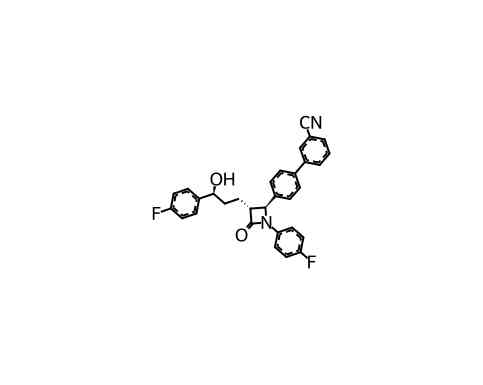 N#Cc1cccc(-c2ccc([C@@H]3[C@@H](CC[C@H](O)c4ccc(F)cc4)C(=O)N3c3ccc(F)cc3)cc2)c1